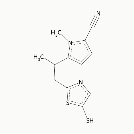 CC(Cc1ncc(S)s1)c1ccc(C#N)n1C